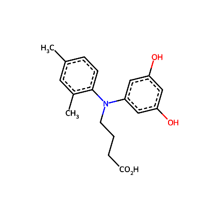 Cc1ccc(N(CCCC(=O)O)c2cc(O)cc(O)c2)c(C)c1